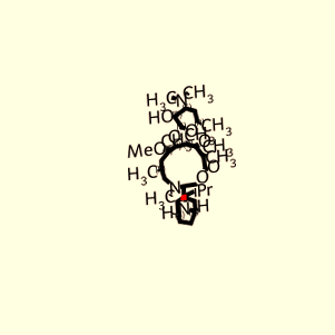 CO[C@]1(C)C[C@@H](C)CN(C)C(C2C[C@H]3CC[C@@H](C2)N3CC(C)C)COC(=O)C(C)(C)C(=O)[C@H](C)[C@H]1O[C@@H]1O[C@H](C)C[C@H](N(C)C)[C@H]1O